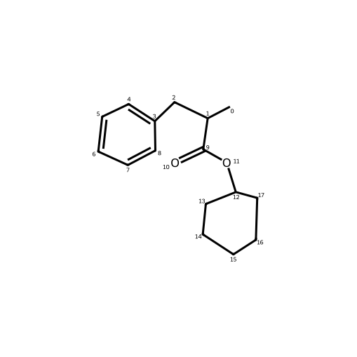 CC(Cc1ccccc1)C(=O)OC1CCCCC1